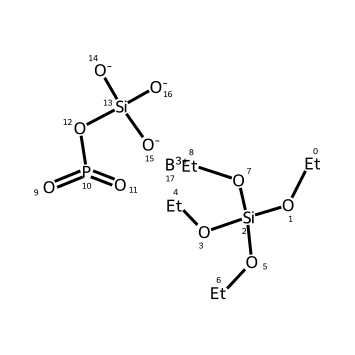 CCO[Si](OCC)(OCC)OCC.O=P(=O)O[Si]([O-])([O-])[O-].[B+3]